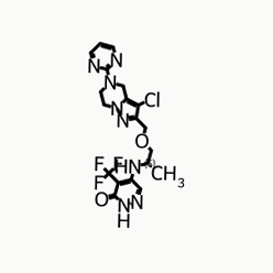 C[C@@H](COCc1nn2c(c1Cl)CN(c1ncccn1)CC2)Nc1cn[nH]c(=O)c1C(F)(F)F